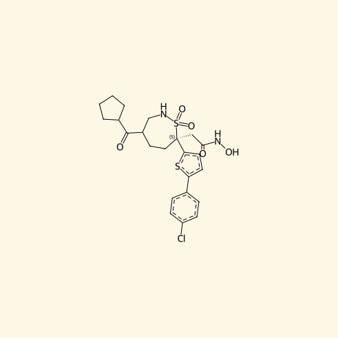 O=C(C[C@]1(c2ccc(-c3ccc(Cl)cc3)s2)CCC(C(=O)C2CCCC2)CNS1(=O)=O)NO